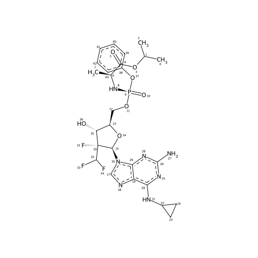 CC(C)OC(=O)[C@H](C)N[P@@](=O)(OC[C@H]1O[C@@H](n2cnc3c(NC4CC4)nc(N)nc32)[C@@](F)(C(F)F)[C@@H]1O)Oc1ccccc1